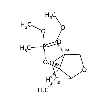 COC[C@@]12COC([C@H](C)O1)[C@H]2OP(C)(=O)OC